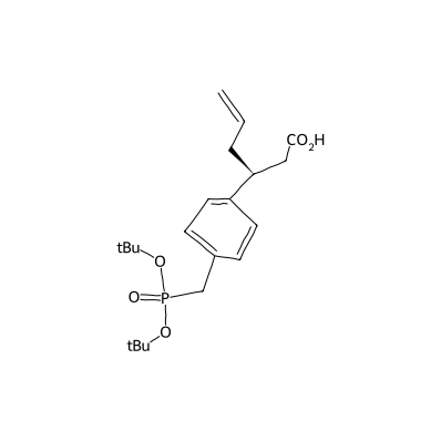 C=CC[C@@H](CC(=O)O)c1ccc(CP(=O)(OC(C)(C)C)OC(C)(C)C)cc1